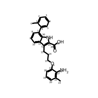 Cc1ccccc1-c1cccc2c(CCCOc3cccc(C)c3N)c(C(=O)O)[nH]c12